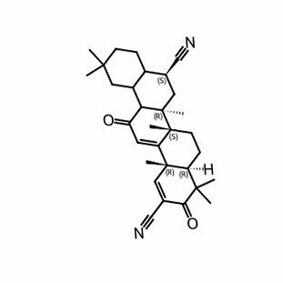 CC1(C)CCC2C(C1)C1C(=O)C=C3[C@@]4(C)C=C(C#N)C(=O)C(C)(C)[C@@H]4CC[C@@]3(C)[C@]1(C)C[C@@H]2C#N